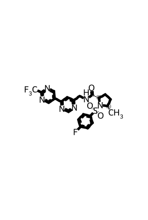 C[C@H]1CC[C@@H](C(=O)NCc2cc(-c3cnc(C(F)(F)F)nc3)ncn2)N1S(=O)(=O)c1ccc(F)cc1